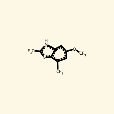 FC(F)(F)Oc1cc(C(F)(F)F)c2nc(C(F)(F)F)[nH]c2c1